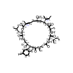 C/C=C(\C)[C@H]1NC(=O)[C@@H](C)NC(=O)[C@H](C(C)CC)NC(=O)CN(C)C(=O)[C@@H](Cc2ccc(F)cc2)N(C)C(=O)[C@H](C)NC(=O)[C@@H](CC(C)C)OC(=O)/C(C)=C/C[C@H](O)[C@@H]1C